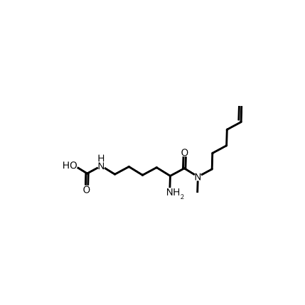 C=CCCCCN(C)C(=O)C(N)CCCCNC(=O)O